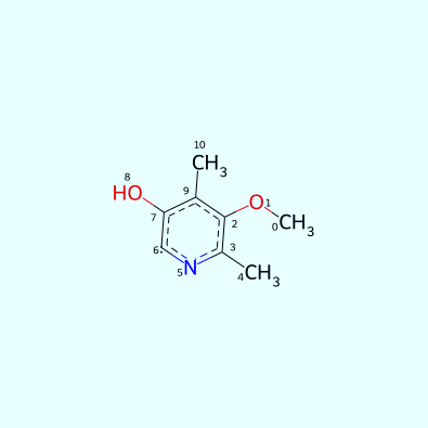 COc1c(C)n[c]c(O)c1C